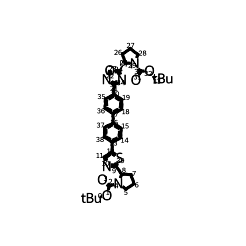 CC(C)(C)OC(=O)N1CCCC1c1ncc(-c2ccc(-c3ccc(-c4noc([C@@H]5CCCN5C(=O)OC(C)(C)C)n4)cc3)cc2)s1